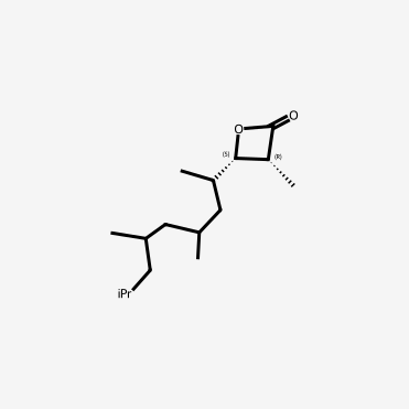 CC(C)CC(C)CC(C)CC(C)[C@@H]1OC(=O)[C@@H]1C